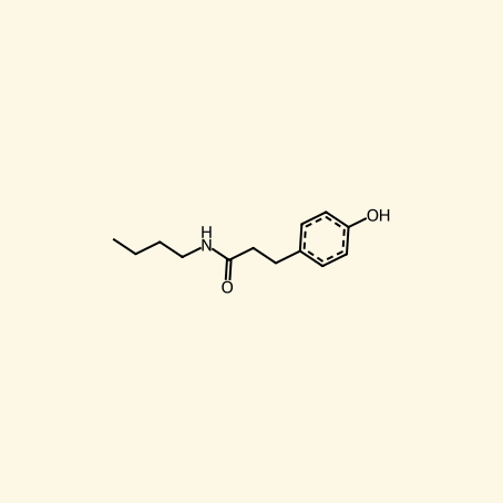 CCCCNC(=O)CCc1ccc(O)cc1